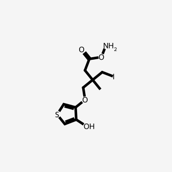 CC(CI)(COc1cscc1O)CC(=O)ON